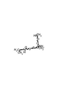 CCC(C)/C=C/CNC(=O)CCOCCOCCOC(C)(N)CCOCCOCCNC